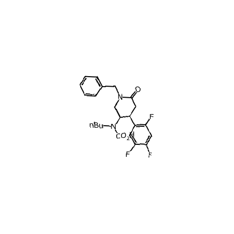 CCCCN(C(=O)O)C1CN(Cc2ccccc2)C(=O)CC1c1cc(F)c(F)cc1F